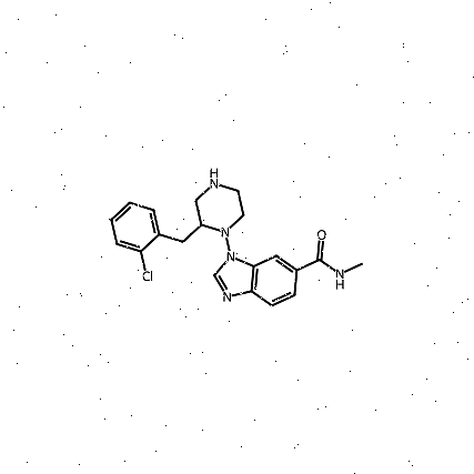 CNC(=O)c1ccc2ncn(N3CCNCC3Cc3ccccc3Cl)c2c1